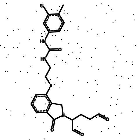 Cc1ccc(NC(=O)NCCSc2cccc3c2CN(C(C=O)CCC=O)C3=O)cc1Cl